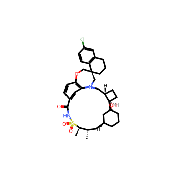 C[C@@H]1[C@@H](C)C[C@H]2CCC[C@](O)(C2)[C@@H]2CC[C@H]2CN2C[C@@]3(CCCc4cc(Cl)ccc43)COc3ccc(cc32)C(=O)NS1(=O)=O